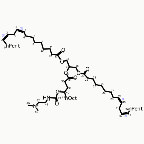 CCCCC/C=C\C/C=C\CCCCCCCC(=O)OCC(COC(=O)CCCCCCC/C=C\C/C=C\CCCCC)OC(=O)CCC(CCCCCCCC)OC(=O)NCCN(C)C